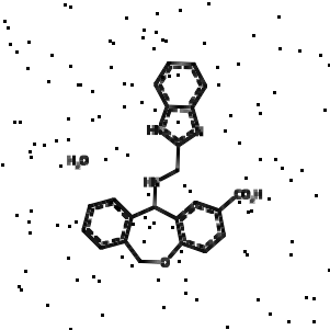 O.O=C(O)c1ccc2c(c1)C(NCc1nc3ccccc3[nH]1)c1ccccc1CO2